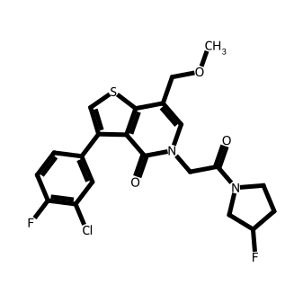 COCc1cn(CC(=O)N2CCC(F)C2)c(=O)c2c(-c3ccc(F)c(Cl)c3)csc12